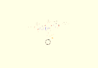 CCC1CC1(NC(=O)C1CC(OS(=O)(=O)c2ccc(Br)cc2)CN1C(=O)C(NC(=O)OC(C)(C)C)C(C)(C)C)C(=O)OC